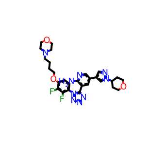 Nc1ncc(-c2cnn(C3CCOCC3)c2)cc1-c1nnnn1-c1ccc(OCCCCN2CCOCC2)c(F)c1F